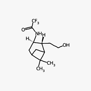 CC1(C)C2CC1[C@@H](CCO)[C@H](NC(=O)C(F)(F)F)C2